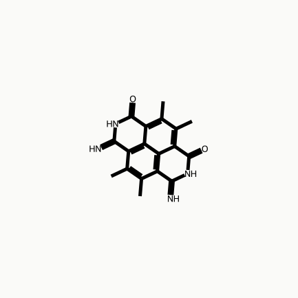 Cc1c(C)c2c3c(c(C)c(C)c4c3c1C(=N)NC4=O)C(=O)NC2=N